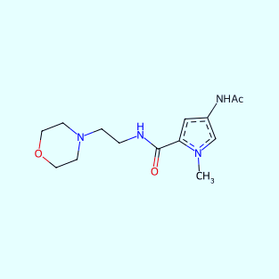 CC(=O)Nc1cc(C(=O)NCCN2CCOCC2)n(C)c1